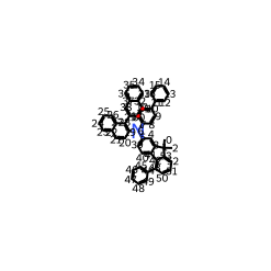 CC1(C)c2cc(N(c3ccc(-c4ccccc4)cc3)c3ccc4ccccc4c3-c3ccc4ccccc4c3)ccc2-c2c(-c3ccccc3)cccc21